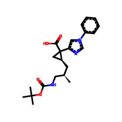 C[C@H](CNC(=O)OC(C)(C)C)C[C@H]1CC1(C(=O)O)c1cn(-c2ccccc2)cn1